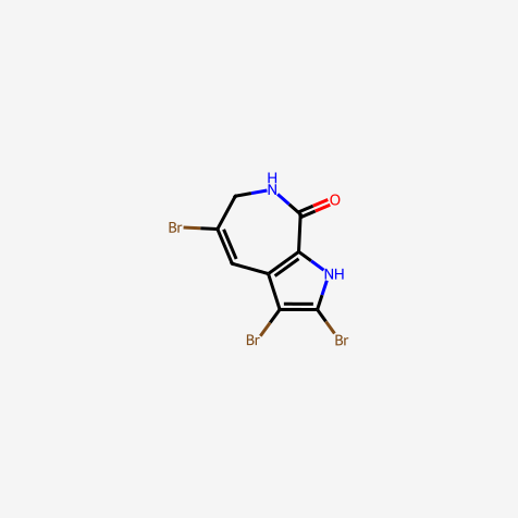 O=C1NCC(Br)=Cc2c1[nH]c(Br)c2Br